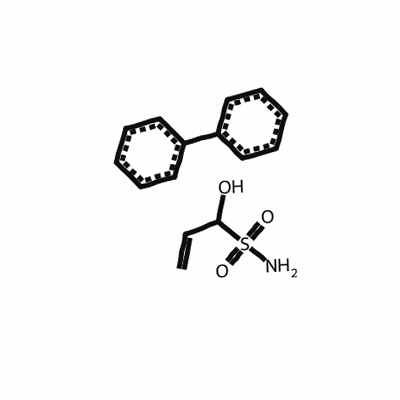 C=CC(O)S(N)(=O)=O.c1ccc(-c2ccccc2)cc1